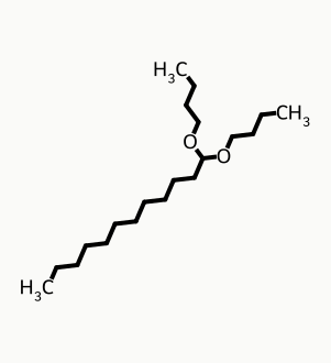 CCCCCCCCCCCC(OCCCC)OCCCC